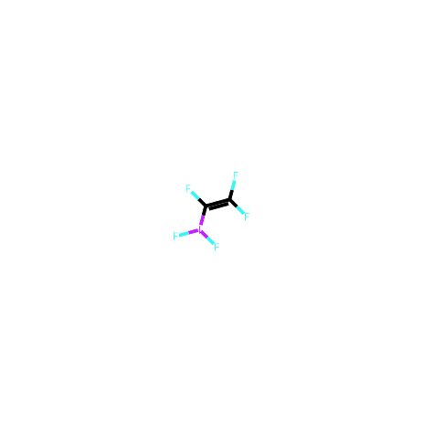 FC(F)=C(F)I(F)F